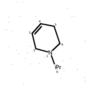 CC(C)N1CC=CCC1